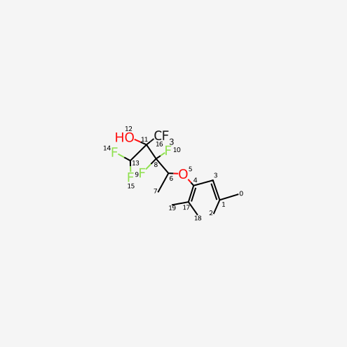 CC(C)=CC(OC(C)C(F)(F)C(O)(C(F)F)C(F)(F)F)=C(C)C